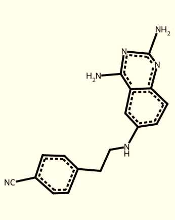 N#Cc1ccc(CCNc2ccc3nc(N)nc(N)c3c2)cc1